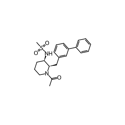 CC(=O)N1CCC[C@@H](NS(C)(=O)=O)[C@H]1Cc1cccc(-c2ccccc2)c1